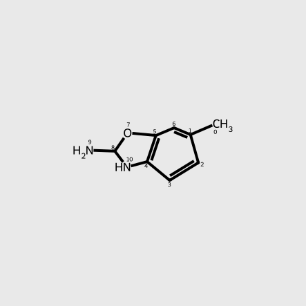 Cc1ccc2c(c1)OC(N)N2